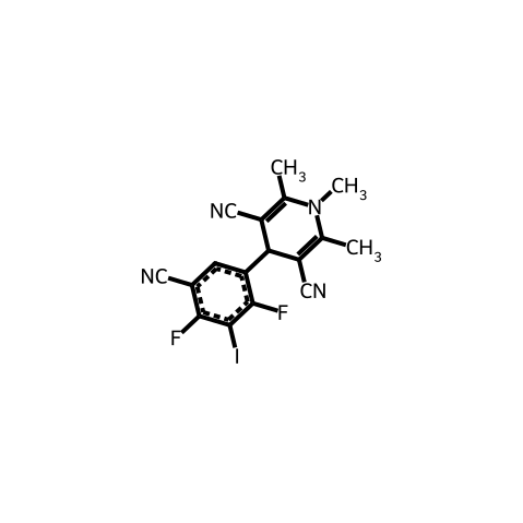 CC1=C(C#N)C(c2cc(C#N)c(F)c(I)c2F)C(C#N)=C(C)N1C